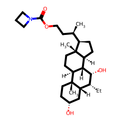 CC[C@H]1[C@@H](O)[C@@H]2[C@H](CC[C@]3(C)[C@@H]([C@H](C)CCOC(=O)N4CCC4)CC[C@@H]23)[C@@]2(C)CC[C@@H](O)C[C@@H]12